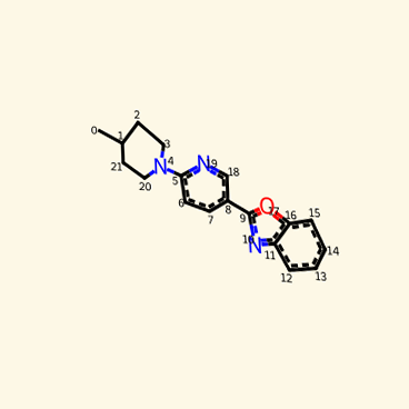 CC1CCN(c2ccc(-c3nc4ccccc4o3)cn2)CC1